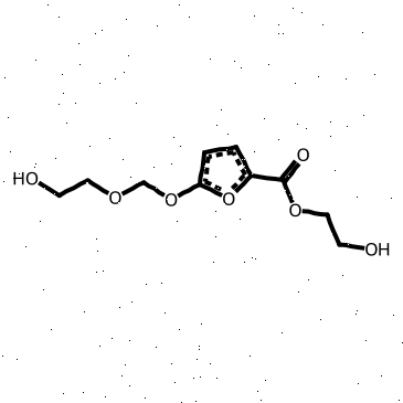 O=C(OCCO)c1ccc(OCOCCO)o1